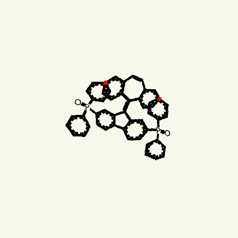 O=P(c1ccccc1)(c1ccccc1)c1ccc2c(c1)C(=C1c3ccccc3C=Cc3ccccc31)c1cc(P(=O)(c3ccccc3)c3ccccc3)ccc1-2